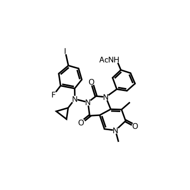 CC(=O)Nc1cccc(-n2c(=O)n(N(c3ccc(I)cc3F)C3CC3)c(=O)c3cn(C)c(=O)c(C)c32)c1